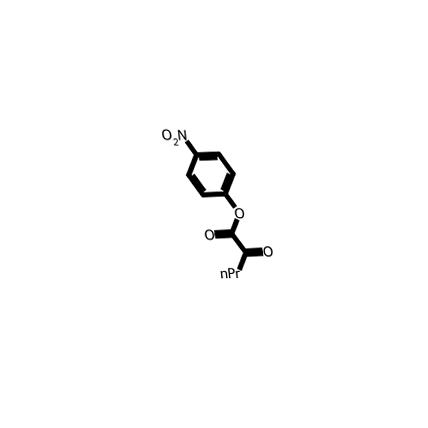 CCCC(=O)C(=O)Oc1ccc([N+](=O)[O-])cc1